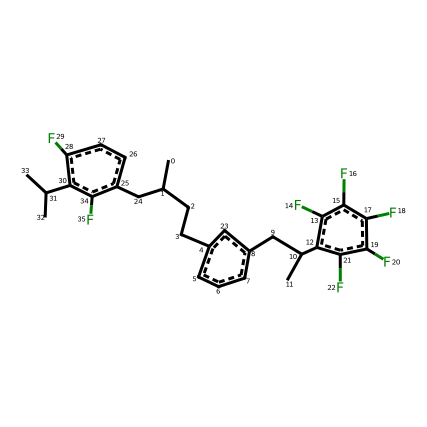 CC(CCc1cccc(CC(C)c2c(F)c(F)c(F)c(F)c2F)c1)Cc1ccc(F)c(C(C)C)c1F